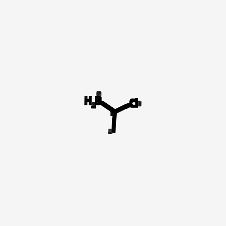 BC(C)Cl